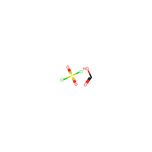 O=CO.O=S(=O)(Cl)Cl